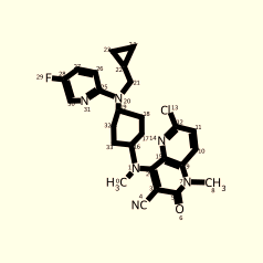 CN(c1c(C#N)c(=O)n(C)c2ccc(Cl)nc12)C1CCC(N(CC2CC2)c2ccc(F)cn2)CC1